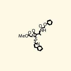 COC(=O)CN1C(=O)C(C(C)=CNC(=O)COc2ccccc2)C1SSc1ccc2ccccc2n1